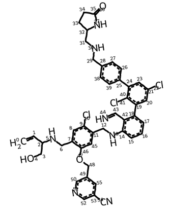 C=CC(CO)NCc1cc(Cl)c(CNc2cccc(-c3cc(Cl)cc(-c4ccc(CNCC5CCC(=O)N5)cc4)c3Cl)c2C=N)cc1OCc1cncc(C#N)c1